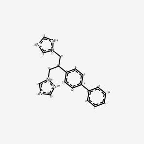 c1ccc(-c2ccc(C(Cn3cncn3)Cn3cncn3)cc2)cc1